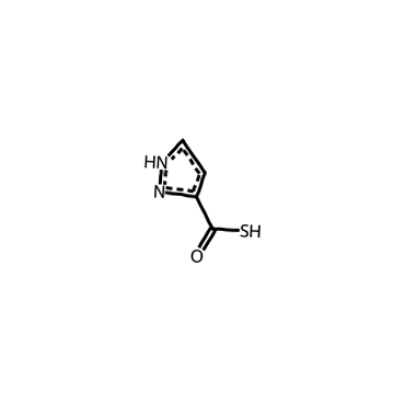 O=C(S)c1cc[nH]n1